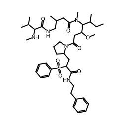 CCC(C)C(C(CC(=O)N1CCCC1CC(C(=O)NCCc1ccccc1)S(=O)(=O)c1ccccc1)OC)N(C)C(=O)CC(C)CNC(=O)C(NC)C(C)C